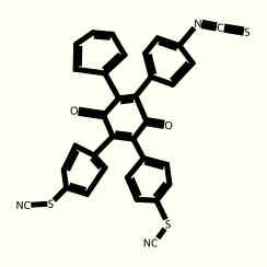 N#CSc1ccc(C2=C(c3ccc(SC#N)cc3)C(=O)C(c3ccc(N=C=S)cc3)=C(c3ccccc3)C2=O)cc1